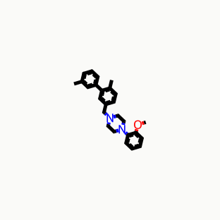 COc1ccccc1N1CCN(Cc2ccc(C)c(-c3cccc(C)c3)c2)CC1